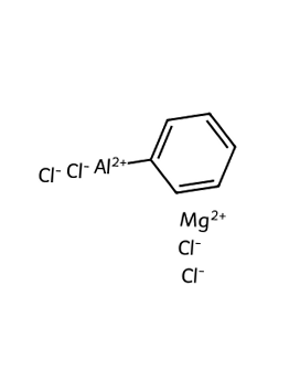 [Al+2][c]1ccccc1.[Cl-].[Cl-].[Cl-].[Cl-].[Mg+2]